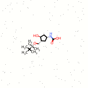 CC(C)(C)[Si](C)(C)OC[C@H]1C[C@@H](NC(=O)O)C[C@@H]1O